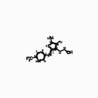 CC(=O)c1s/c(=N\c2ccc(C(F)(F)F)nc2)n(CCO)c1C